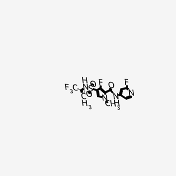 C[C@@H](NS(=O)(=O)c1cn(C)c(C(=O)Nc2ccnc(F)c2)c1F)C(F)(F)F